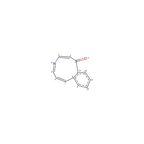 O=C1C=CN=CC=Cc2ccccc21